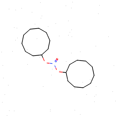 O=[N+](OC1CCCCCCCCC1)OC1CCCCCCCCC1